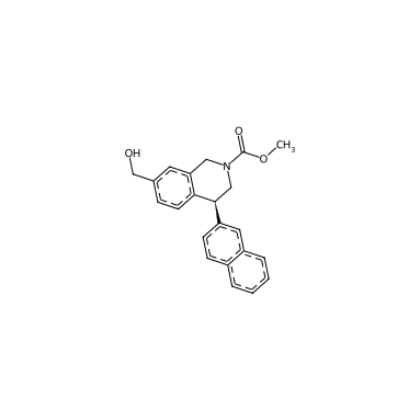 COC(=O)N1Cc2cc(CO)ccc2[C@H](c2ccc3ccccc3c2)C1